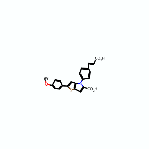 CC(C)Oc1ccc(-c2cc3c(cc(C(=O)O)n3-c3ccc(C=CC(=O)O)cc3)s2)cc1